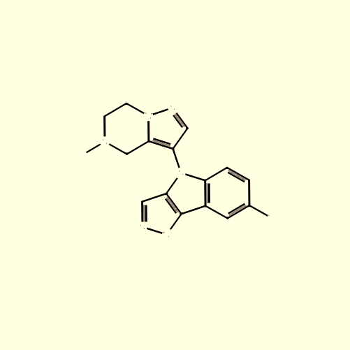 CCN1CCn2ncc(-n3c4ccc(F)cc4c4[nH]ncc43)c2C1